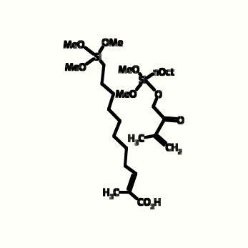 C=C(C)C(=O)CO[Si](CCCCCCCC)(OC)OC.CO[Si](CCCCCCCCC=C(C)C(=O)O)(OC)OC